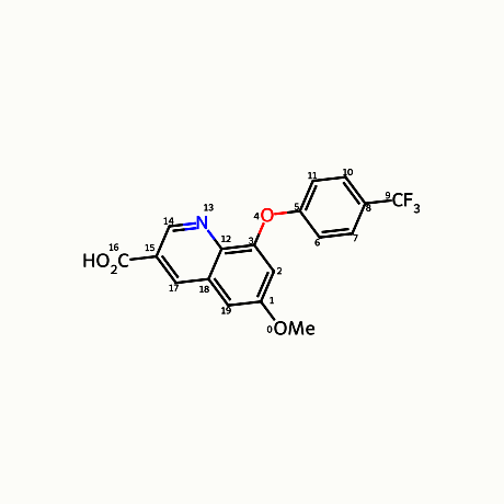 COc1cc(Oc2ccc(C(F)(F)F)cc2)c2ncc(C(=O)O)cc2c1